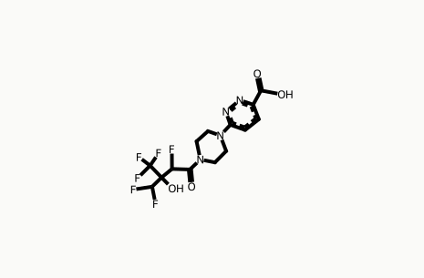 O=C(O)c1ccc(N2CCN(C(=O)C(F)C(O)(C(F)F)C(F)(F)F)CC2)nn1